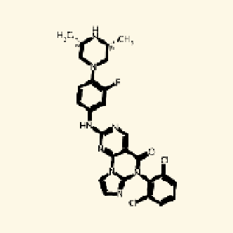 C[C@@H]1CN(c2ccc(Nc3ncc4c(=O)n(-c5c(Cl)cccc5Cl)c5nccn5c4n3)cc2F)C[C@H](C)N1